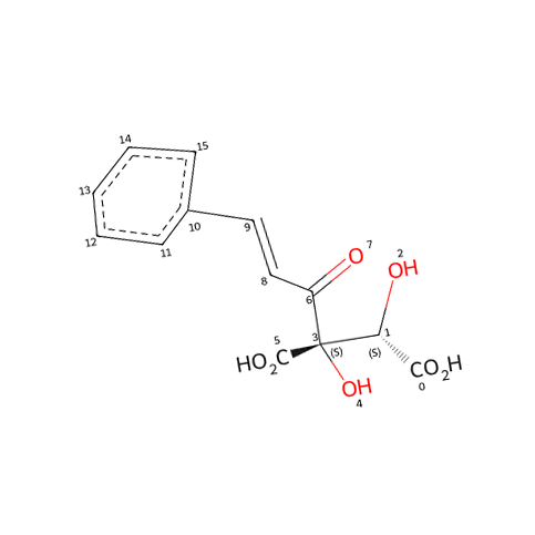 O=C(O)[C@@H](O)[C@@](O)(C(=O)O)C(=O)C=Cc1ccccc1